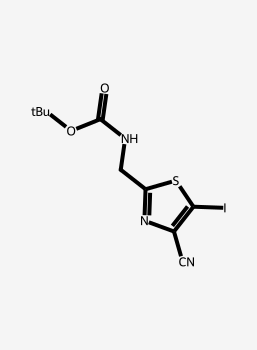 CC(C)(C)OC(=O)NCc1nc(C#N)c(I)s1